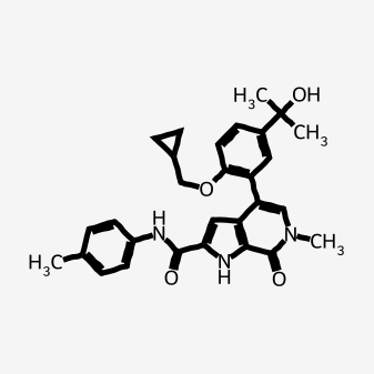 Cc1ccc(NC(=O)c2cc3c(-c4cc(C(C)(C)O)ccc4OCC4CC4)cn(C)c(=O)c3[nH]2)cc1